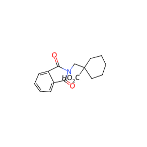 O=C1c2ccccc2C(=O)N1CC1(C(=O)O)CCCCC1